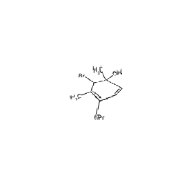 CCCC1=C(C)C(Br)C(C)(O)C=C1